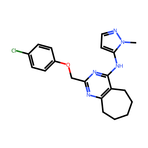 Cn1nccc1Nc1nc(COc2ccc(Cl)cc2)nc2c1CCCCC2